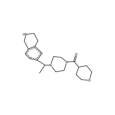 CC(c1ccc2c(c1)CCNC2)N1CCN(C(=O)C2CCOCC2)CC1